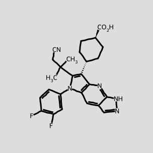 CC(C)(CC#N)c1c([C@H]2CC[C@H](C(=O)O)CC2)c2nc3[nH]ncc3cc2n1-c1ccc(F)c(F)c1